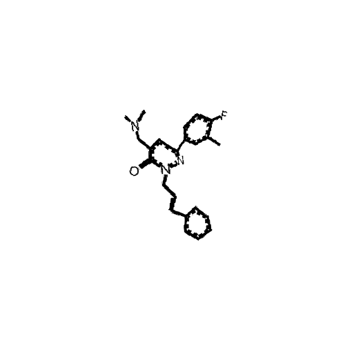 Cc1cc(-c2cc(CN(C)C)c(=O)n(CC=Cc3ccccc3)n2)ccc1F